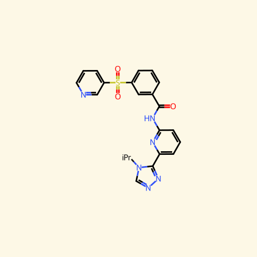 CC(C)n1cnnc1-c1cccc(NC(=O)c2cccc(S(=O)(=O)c3cccnc3)c2)n1